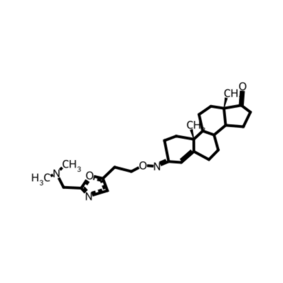 CN(C)Cc1ncc(CCO/N=C2/C=C3CCC4C(CC[C@]5(C)C(=O)CCC45)[C@@]3(C)CC2)o1